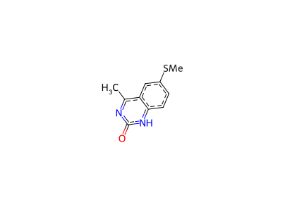 CSc1ccc2[nH]c(=O)nc(C)c2c1